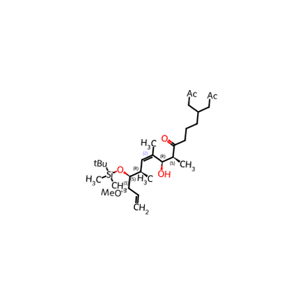 C=C[C@H](OC)[C@@H](O[Si](C)(C)C(C)(C)C)[C@H](C)/C=C(/C)[C@H](O)[C@H](C)C(=O)CCCC(CC(C)=O)CC(C)=O